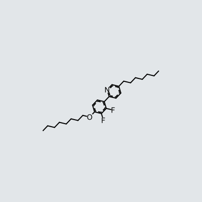 CCCCCCCCOc1ccc(-c2ccc(CCCCCCC)cn2)c(F)c1F